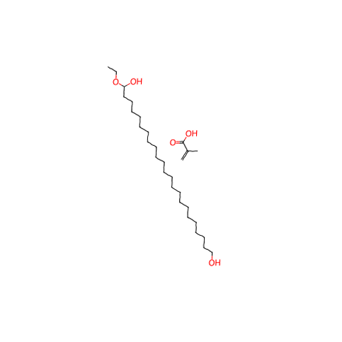 C=C(C)C(=O)O.CCOC(O)CCCCCCCCCCCCCCCCCCCCCCO